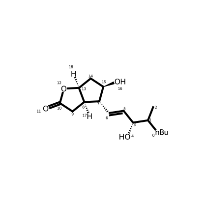 CCCCC(C)[C@H](O)/C=C/[C@@H]1[C@H]2CC(=O)O[C@H]2C[C@H]1O